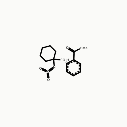 COC(=O)c1ccccc1.O=C(O)C1(N=S(=O)=O)CCCCC1